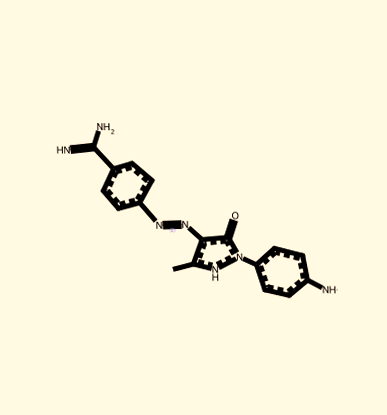 Cc1[nH]n(-c2ccc([NH])cc2)c(=O)c1/N=N/c1ccc(C(=N)N)cc1